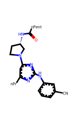 CCCCCC(=O)N[C@H]1CCN(c2cc(CCC)nc(Nc3cccc(C#N)c3)n2)C1